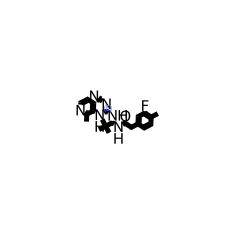 Cc1ccc(CC(=O)NC(N/C(=N/C#N)Nc2cccnc2C)C(C)(C)C)cc1F